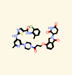 Cc1cc(Nc2ncc(C(=O)Nc3c(C)cccc3Cl)s2)cc(N2CCN(C(=O)CCOc3cccc4c3CN(C3CCC(=O)NC3=O)C4=O)CC2)n1